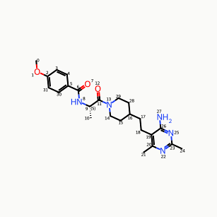 COc1ccc(C(=O)N[C@@H](C)C(=O)N2CCC(CCc3c(C)nc(C)nc3N)CC2)cc1